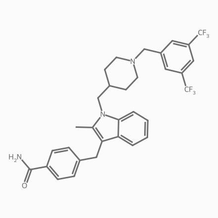 Cc1c(Cc2ccc(C(N)=O)cc2)c2ccccc2n1CC1CCN(Cc2cc(C(F)(F)F)cc(C(F)(F)F)c2)CC1